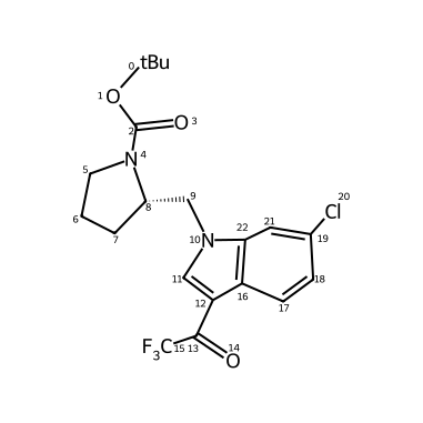 CC(C)(C)OC(=O)N1CCC[C@H]1Cn1cc(C(=O)C(F)(F)F)c2ccc(Cl)cc21